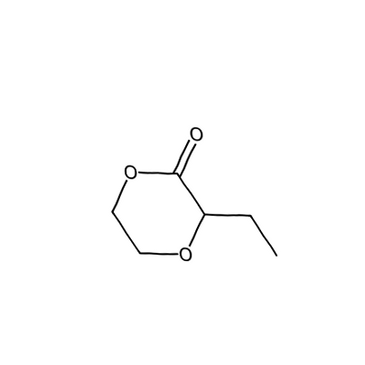 CCC1OCCOC1=O